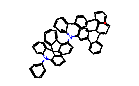 c1ccc(-c2ccc(-c3ccccc3N(c3ccc4c5ccccc5c5ccccc5c4c3)c3cccc4c3-c3ccccc3C43c4ccccc4N(c4ccccc4)c4ccccc43)cc2)cc1